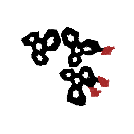 Brc1ccc2c3ccccc3c3ccccc3c2c1.Brc1ccc2c3ccccc3c3ccccc3c2c1Br.c1ccc2c(c1)c1ccccc1c1ccccc21